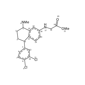 CNC1CCC(c2ccc(Cl)c(Cl)c2)c2ccc(NCC(=O)OC)cc21